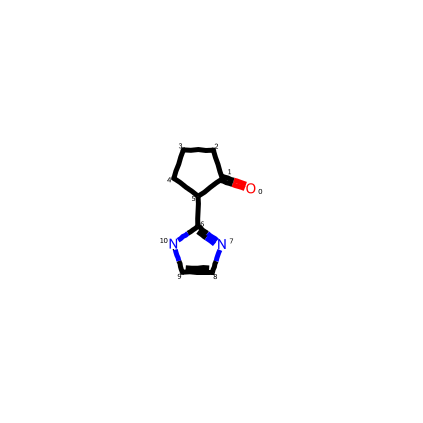 O=C1CCCC1C1=NC=C[N]1